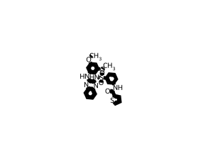 COc1cc(Nc2nc3ccccc3nc2NS(=O)(=O)C2=CC(NC(=O)c3cccs3)CC=C2)cc(OC)c1